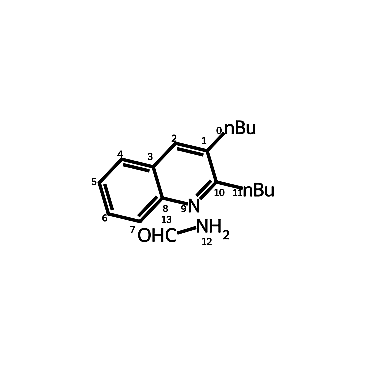 CCCCc1cc2ccccc2nc1CCCC.NC=O